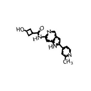 Cc1cc(-c2cc3cnc(NC(=O)C4CC(O)C4)cc3[nH]2)ccn1